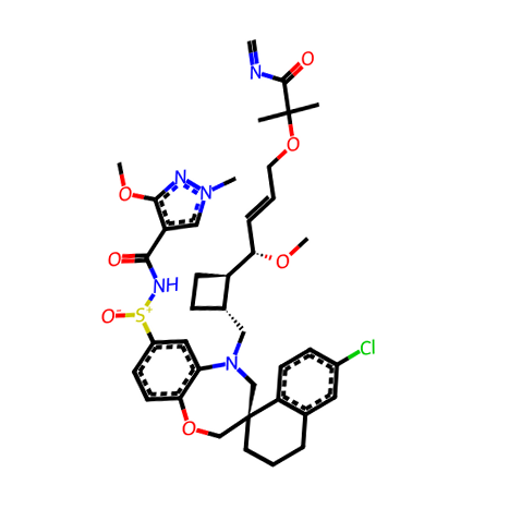 C=NC(=O)C(C)(C)OC/C=C/[C@H](OC)[C@@H]1CC[C@H]1CN1C[C@@]2(CCCc3cc(Cl)ccc32)COc2ccc([S+]([O-])NC(=O)c3cn(C)nc3OC)cc21